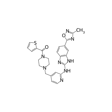 Cc1noc(-c2ccc3nc(Nc4cc(CN5CCN(C(=O)c6cccs6)CC5)ccn4)[nH]c3c2)n1